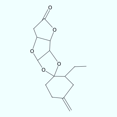 C=C1CCC2(OC3OC4CC(=O)OC4C3O2)C(CC)C1